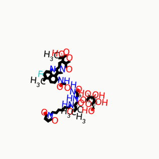 CC[C@@]1(O)C(=O)OCc2c1cc1n(c2=O)Cc2c-1nc1cc(F)c(C)c3c1c2[C@@H](NC(=O)COCNC(=O)[C@H](CO[C@@H]1O[C@H](CO)[C@H](O)[C@H](O)[C@H]1O)NC(=O)[C@@H](NC(=O)CCCCCN1C(=O)C=CC1=O)C(C)C)CC3